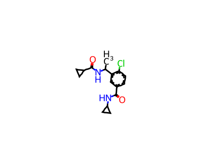 CC(NC(=O)C1CC1)c1cc(C(=O)NC2CC2)ccc1Cl